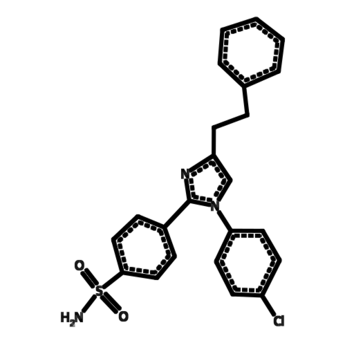 NS(=O)(=O)c1ccc(-c2nc(CCc3ccccc3)cn2-c2ccc(Cl)cc2)cc1